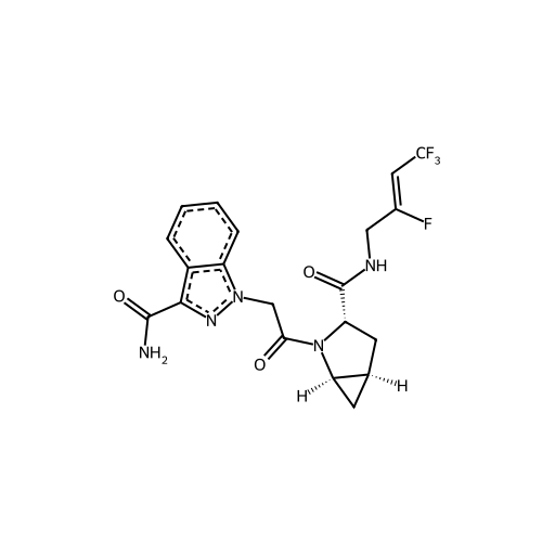 NC(=O)c1nn(CC(=O)N2[C@@H]3C[C@@H]3C[C@H]2C(=O)NCC(F)=CC(F)(F)F)c2ccccc12